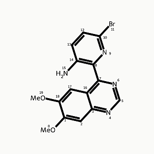 COc1cc2ncnc(-c3nc(Br)ccc3N)c2cc1OC